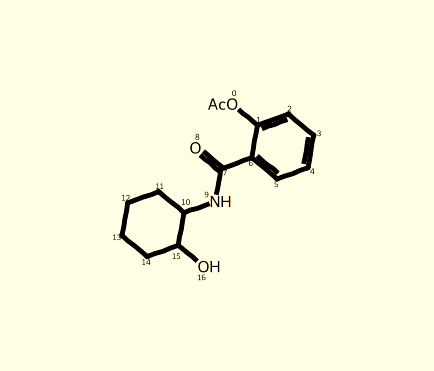 CC(=O)Oc1ccccc1C(=O)NC1CCCCC1O